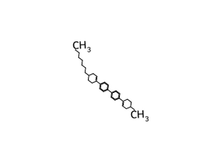 CCCCCCCCC1CC=C(c2ccc(-c3ccc(C4=CCC(CC)CC4)cc3)cc2)CC1